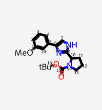 COc1cccc(-c2c[nH]c(C3CCCN3C(=O)OC(C)(C)C)n2)c1